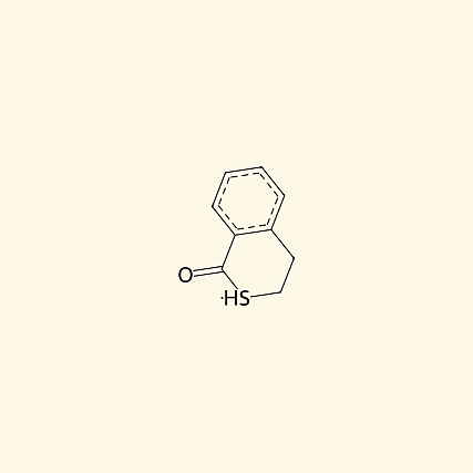 O=C1[SH]CCc2ccccc21